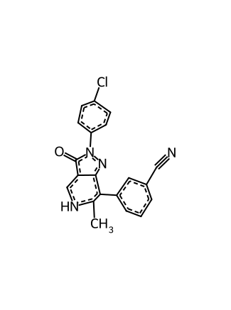 Cc1[nH]cc2c(=O)n(-c3ccc(Cl)cc3)nc-2c1-c1cccc(C#N)c1